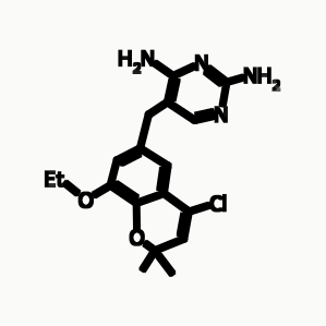 CCOc1cc(Cc2cnc(N)nc2N)cc2c1OC(C)(C)C=C2Cl